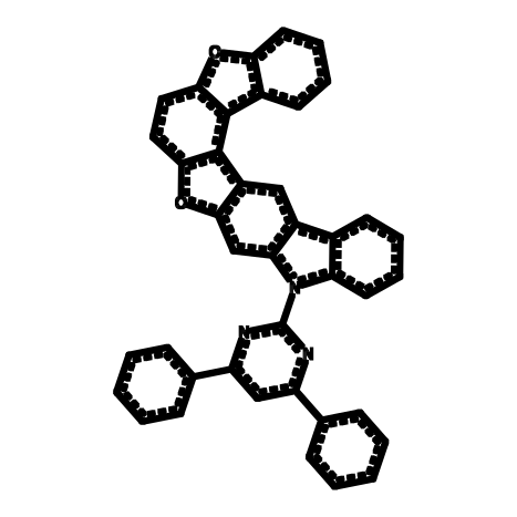 c1ccc(-c2cc(-c3ccccc3)nc(-n3c4ccccc4c4cc5c(cc43)oc3ccc4oc6ccccc6c4c35)n2)cc1